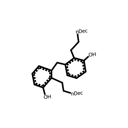 CCCCCCCCCCCCc1c(O)cccc1Cc1cccc(O)c1CCCCCCCCCCCC